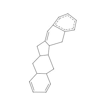 C1=CC2CC3CC4=Cc5ccccc5CC4C3CC2C=C1